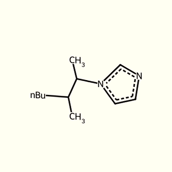 CCCCC(C)C(C)n1ccnc1